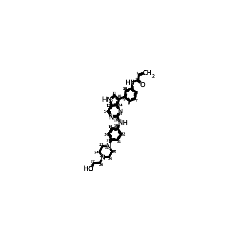 C=CC(=O)Nc1cccc(-c2c[nH]c3cnc(Nc4ccc(N5CCN(CCO)CC5)cc4)nc23)c1